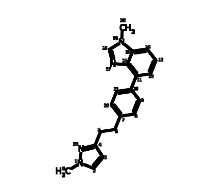 Cn1ccc(CCc2ccc(-c3cccc4c3ncn4C)cc2)n1